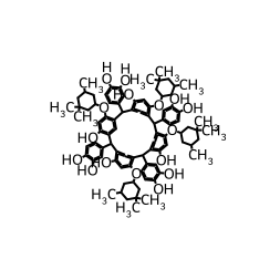 CC1CC(Oc2cc(O)c3cc2C(c2ccc(O)c(O)c2)c2cc(c(OC4CC(C)CC(C)(C)C4)cc2O)C(c2ccc(O)c(O)c2)c2cc(c(O)cc2OC2CC(C)CC(C)(C)C2)C(c2ccc(O)c(O)c2)c2cc(c(O)cc2OC2CC(C)CC(C)(C)C2)C3c2ccc(O)c(O)c2)CC(C)(C)C1